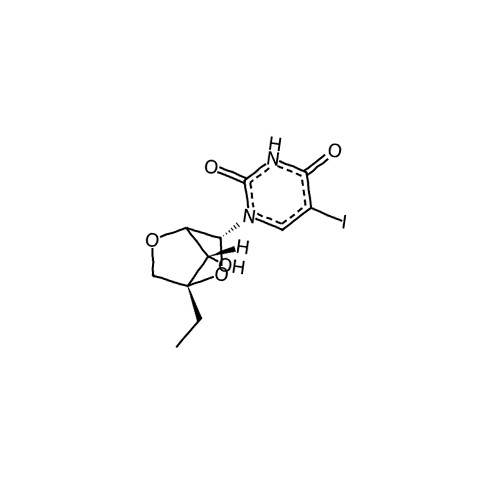 CC[C@]12COC([C@H](n3cc(I)c(=O)[nH]c3=O)O1)[C@@H]2O